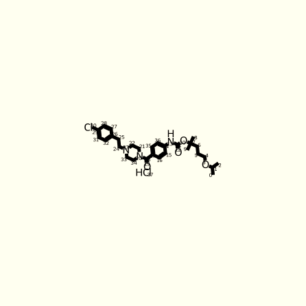 CC(C)OCCCC(C)(C)OC(=O)Nc1ccc(C(=O)N2CCN(CCc3ccc(Cl)cc3)CC2)cc1.Cl